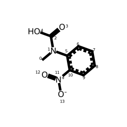 CN(C(=O)O)c1ccccc1[N+](=O)[O-]